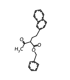 CC(=O)C(CCc1ccc2ccccc2c1)C(=O)OCc1ccccc1